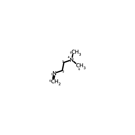 C=NCCN(C)C